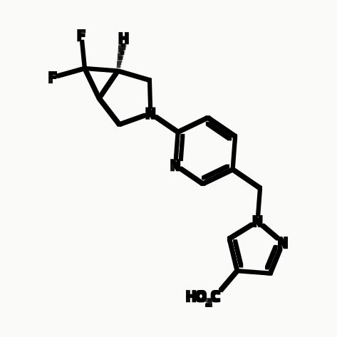 O=C(O)c1cnn(Cc2ccc(N3CC4[C@H](C3)C4(F)F)nc2)c1